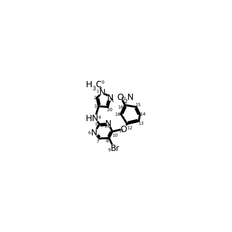 Cn1cc(Nc2ncc(Br)c(Oc3cccc([N+](=O)[O-])c3)n2)cn1